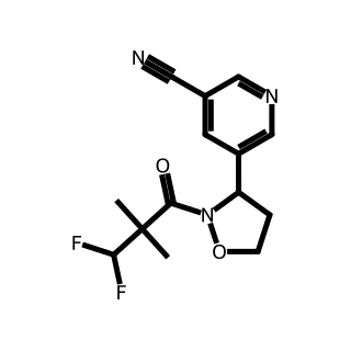 CC(C)(C(=O)N1OCCC1c1cncc(C#N)c1)C(F)F